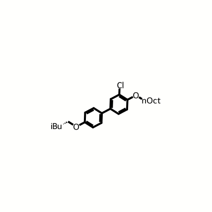 CCCCCCCCOc1ccc(-c2ccc(OC[C@@H](C)CC)cc2)cc1Cl